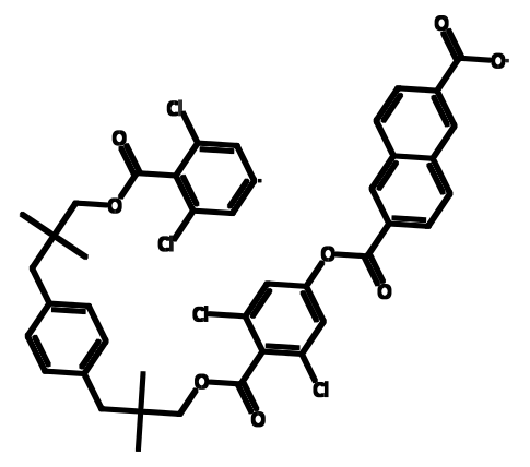 CC(C)(COC(=O)c1c(Cl)c[c]cc1Cl)Cc1ccc(CC(C)(C)COC(=O)c2c(Cl)cc(OC(=O)c3ccc4cc(C([O])=O)ccc4c3)cc2Cl)cc1